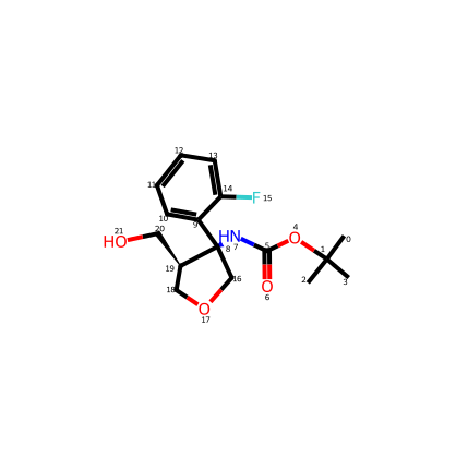 CC(C)(C)OC(=O)N[C@@]1(c2ccccc2F)COC[C@H]1CO